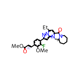 CCc1cc(C(=O)N2CCCCC[C@H]2C)nc2cc(-c3ccc(/C=C/C(=O)OC)c(OC)c3F)nn12